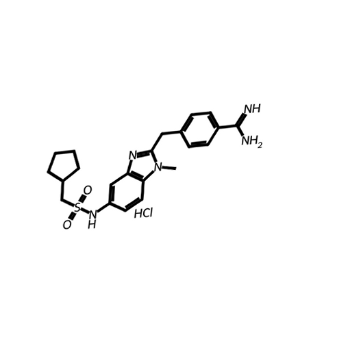 Cl.Cn1c(Cc2ccc(C(=N)N)cc2)nc2cc(NS(=O)(=O)CC3CCCC3)ccc21